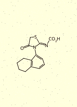 O=C(O)/N=C1\SCC(=O)N1c1cccc2c1CCCC2